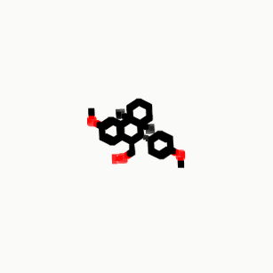 COC1=CCC([C@H]2[C@H]3CCCC[C@H]3c3cc(OC)ccc3[C@@H]2CO)C=C1